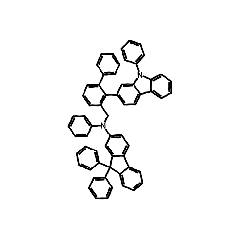 c1ccc(-c2cccc(CN(c3ccccc3)c3ccc4c(c3)C(c3ccccc3)(c3ccccc3)c3ccccc3-4)c2-c2ccc3c4ccccc4n(-c4ccccc4)c3c2)cc1